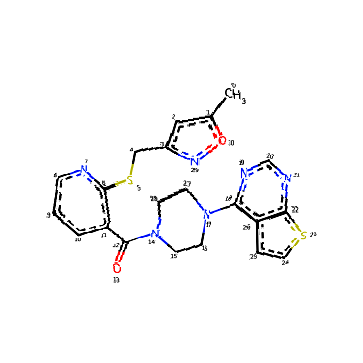 Cc1cc(CSc2ncccc2C(=O)N2CCN(c3ncnc4sccc34)CC2)no1